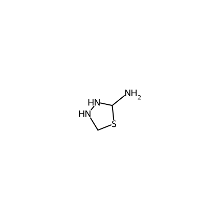 NC1NNCS1